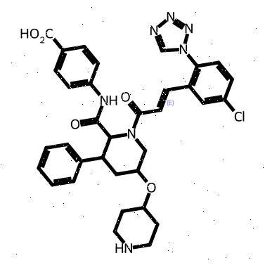 O=C(O)c1ccc(NC(=O)C2C(c3ccccc3)CC(OC3CCNCC3)CN2C(=O)/C=C/c2cc(Cl)ccc2-n2cnnn2)cc1